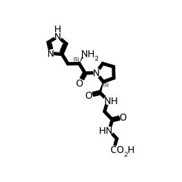 N[C@@H](Cc1c[nH]cn1)C(=O)N1CCC[C@H]1C(=O)NCC(=O)NCC(=O)O